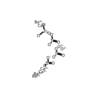 [Ba+2].[Ba+2].[Ba+2].[Ca+2].[Ca+2].[Ca+2].[O-2].[O-2].[O]=[Ti]([O-])[O-].[O]=[Ti]([O-])[O-].[O]=[Zr]([O-])[O-].[O]=[Zr]([O-])[O-]